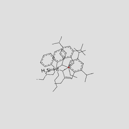 CCC[CH2][Hf](=[SiH2])([CH2]CCC)([c]1ccccc1)([c]1ccccc1)([CH]1C(CC)=Cc2c(C(C)C)cc(C(C)C)cc21)[CH]1C(CC)=Cc2c(C(C)C)cc(C(C)C)cc21